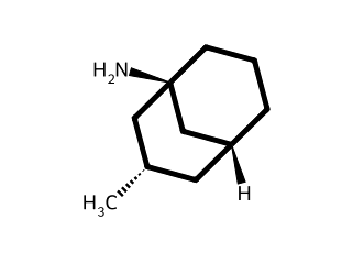 C[C@H]1C[C@H]2CCC[C@@](N)(C1)C2